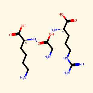 N=C(N)NCCC[C@H](N)C(=O)O.NCC(=O)O.NCCCC[C@H](N)C(=O)O